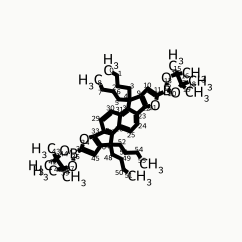 CCCCC1(CCCC)c2cc(B3OC(C)(C)C(C)(C)O3)oc2-c2ccc3c4c(ccc3c21)-c1oc(B2OC(C)(C)C(C)(C)O2)cc1C4(CCCC)CCCC